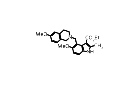 CCOC(=O)c1c(C)[nH]c2ccc(OC)c(CN3CCc4cc(OC)ccc4C3)c12